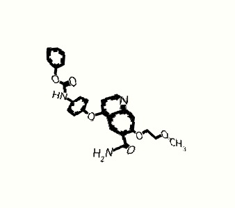 COCCOc1cc2nccc(Oc3ccc(NC(=O)Oc4ccccc4)cc3)c2cc1C(N)=O